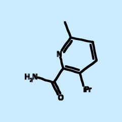 Cc1ccc(C(C)C)c(C(N)=O)n1